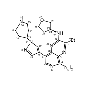 CCc1nc2c(N)ncc(-c3cnn(C4CCNCC4)c3)c2nc1N[C@H]1CCOC1